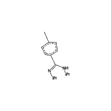 Cc1ccc(C(=NC(C)C)NC(C)C)cc1